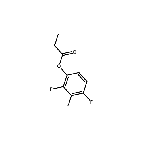 CCC(=O)Oc1ccc(F)c(F)c1F